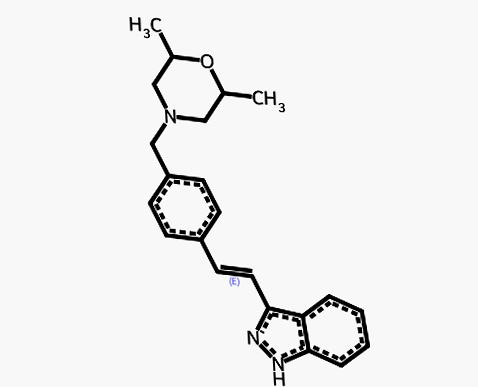 CC1CN(Cc2ccc(/C=C/c3n[nH]c4ccccc34)cc2)CC(C)O1